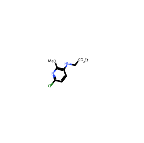 CCOC(=O)CNc1ccc(Cl)nc1OC